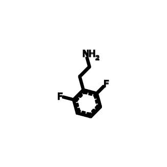 NCCc1c(F)cccc1F